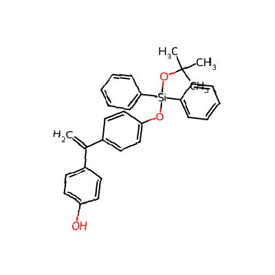 C=C(c1ccc(O)cc1)c1ccc(O[Si](OC(C)(C)C)(c2ccccc2)c2ccccc2)cc1